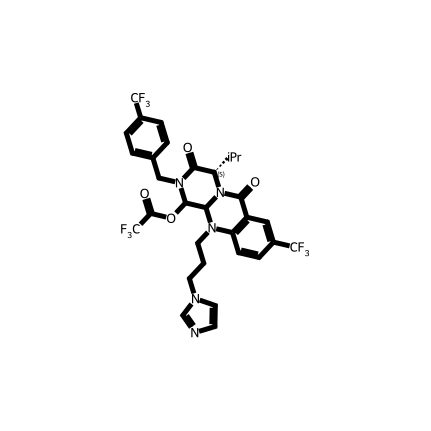 CC(C)[C@H]1C(=O)N(Cc2ccc(C(F)(F)F)cc2)C(OC(=O)C(F)(F)F)C2N(CCCn3ccnc3)c3ccc(C(F)(F)F)cc3C(=O)N21